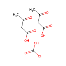 CC(=O)CC(=O)O.CC(=O)CC(=O)O.O=C(O)O